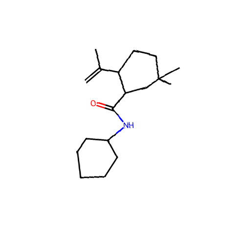 C=C(C)C1CCC(C)(C)CC1C(=O)NC1CCCCC1